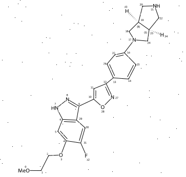 COCCOc1cc2[nH]nc(-c3cc(-c4ccc(N5C[C@H]6CNC[C@H]6C5)cc4)no3)c2cc1F